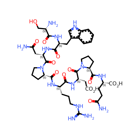 N=C(N)NCCC[C@H](NC(=O)[C@@H]1CCCN1C(=O)[C@H](CC(N)=O)NC(=O)[C@H](Cc1c[nH]c2ccccc12)NC(=O)[C@@H](N)CO)C(=O)N[C@@H](CC(=O)O)C(=O)N1CCC[C@H]1C(=O)N[C@@H](CCC(N)=O)C(=O)O